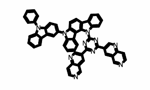 c1ccc(-n2c3ccccc3c3cc(-n4c5ccccc5c5c4ccc4c6ccccc6n(-c6nc(-c7cnc8ccncc8c7)nc(-c7cnc8ccncc8c7)n6)c45)ccc32)cc1